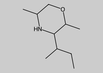 CCC(C)C1NC(C)COC1C